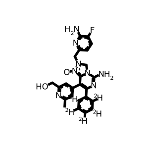 [2H]c1c([2H])c([2H])c(C2=C(c3cc(C)nc(CO)c3)C3=[N+]([O-])N(Cc4ccc(F)c(N)n4)CN3C(N)=N2)c([2H])c1[2H]